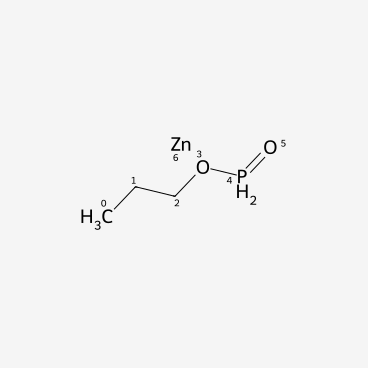 CCCO[PH2]=O.[Zn]